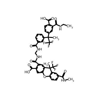 CCNC(=O)c1cc(C(C)(c2cccc(C(=O)NCNC(=O)c3cc4c(cc3C(=O)O)Oc3ccc(C(=O)NC)cc3C4(C)C(F)(F)F)c2)C(F)(F)F)ccc1C(=O)O